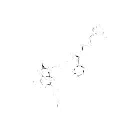 CCCCOc1nc(N)c2[nH]c(=O)n(CCOc3ccccc3C(=O)OCCCN(C)C)c2n1